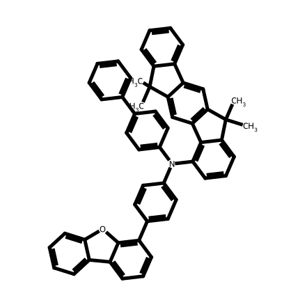 CC1(C)c2ccccc2-c2cc3c(cc21)-c1c(N(c2ccc(-c4ccccc4)cc2)c2ccc(-c4cccc5c4oc4ccccc45)cc2)cccc1C3(C)C